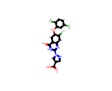 O=C(O)c1cnn(-c2nc3cc(F)c(Oc4cc(Cl)ccc4Cl)cc3c(=O)[nH]2)c1